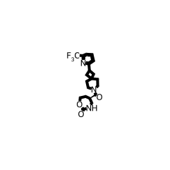 O=C1NC[C@H](C(=O)N2CCC3(CC2)CC(c2cccc(C(F)(F)F)n2)C3)CCO1